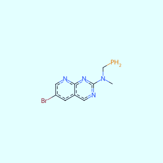 CN(CP)c1ncc2cc(Br)cnc2n1